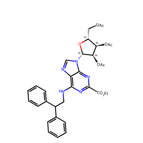 CCOC(=O)c1nc(NCC(c2ccccc2)c2ccccc2)c2ncn([C@@H]3O[C@H](COC(C)=O)[C@@H](OC(C)=O)[C@H]3OC(C)=O)c2n1